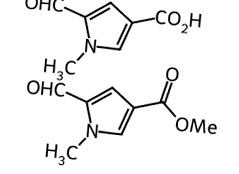 COC(=O)c1cc(C=O)n(C)c1.Cn1cc(C(=O)O)cc1C=O